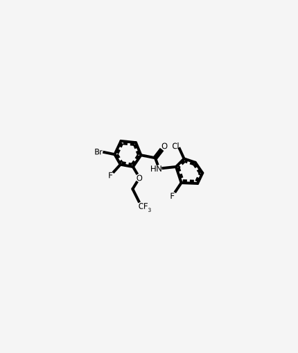 O=C(Nc1c(F)cccc1Cl)c1ccc(Br)c(F)c1OCC(F)(F)F